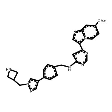 COc1ccn2c(-c3cc(NCc4ccc(-c5cnn(CC6CNC6)c5)cc4)ncn3)cnc2c1